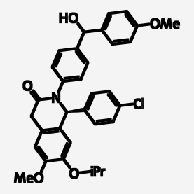 COc1ccc(C(O)c2ccc(N3C(=O)Cc4cc(OC)c(OC(C)C)cc4[C@@H]3c3ccc(Cl)cc3)cc2)cc1